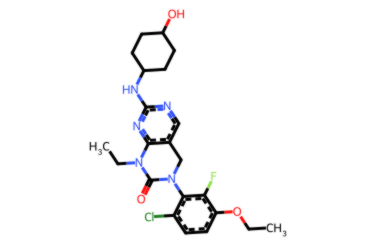 CCOc1ccc(Cl)c(N2Cc3cnc(NC4CCC(O)CC4)nc3N(CC)C2=O)c1F